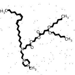 CCCCC/C=C\C/C=C\CCCCCCCCN(CCCN1CCN(C)CC1)CCC(=O)OCCOC(=O)CCC(OCCCCCC)OCCCCCC